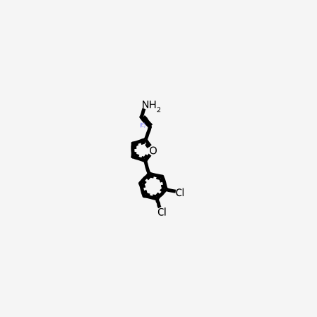 N/C=C/c1ccc(-c2ccc(Cl)c(Cl)c2)o1